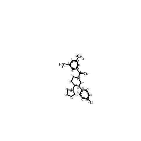 O=C(c1cc(C(F)(F)F)cc(C(F)(F)F)c1)N1CCC(N2CCCC2)C(c2ccc(Cl)cc2)C1